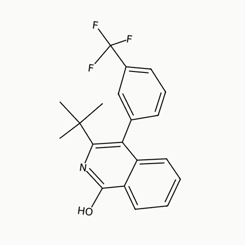 CC(C)(C)c1nc(O)c2ccccc2c1-c1cccc(C(F)(F)F)c1